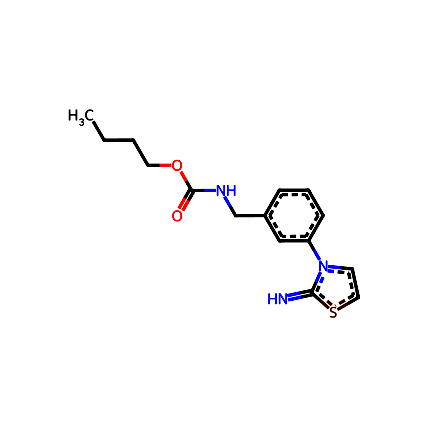 CCCCOC(=O)NCc1cccc(-n2ccsc2=N)c1